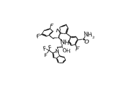 NC(=O)c1cc(-c2cccnc2[C@H](Cc2cc(F)cc(F)c2)NC(O)Cn2c(C(F)(F)F)cc3ccccc32)ccc1F